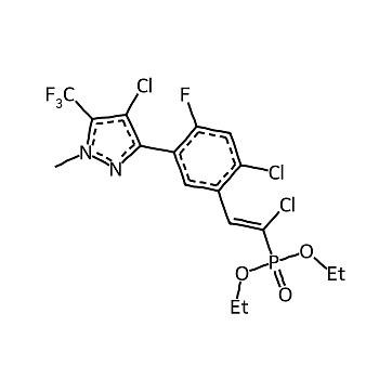 CCOP(=O)(OCC)/C(Cl)=C/c1cc(-c2nn(C)c(C(F)(F)F)c2Cl)c(F)cc1Cl